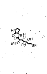 CO[C@@H](C(=O)NC1CCNC1=O)[C@H](O)[C@@H](O)[C@H](O)/C=C/C(C)(C)C